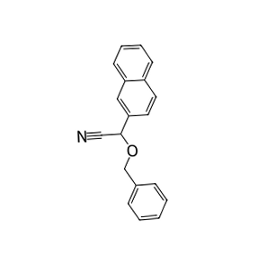 N#CC(OCc1ccccc1)c1ccc2ccccc2c1